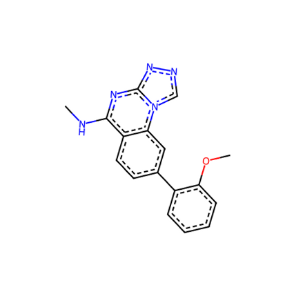 CNc1nc2nncn2c2cc(-c3ccccc3OC)ccc12